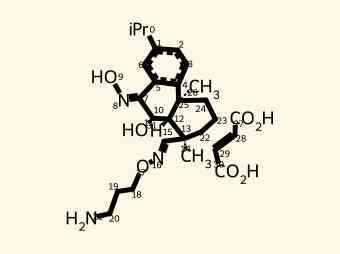 CC(C)c1ccc2c(c1)/C(=N\O)[C@H](O)[C@H]1[C@](C)(/C=N/OCCCN)CCC[C@]21C.O=C(O)/C=C/C(=O)O